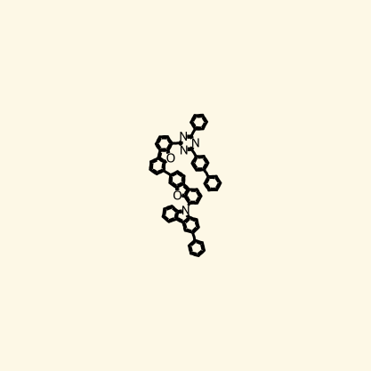 c1ccc(-c2ccc(-c3nc(-c4ccccc4)nc(-c4cccc5c4oc4c(-c6ccc7c(c6)oc6c(-n8c9ccccc9c9cc(-c%10ccccc%10)ccc98)cccc67)cccc45)n3)cc2)cc1